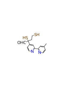 Cc1ccnc(-c2cc(C(S)(C=O)CCS)ccn2)c1